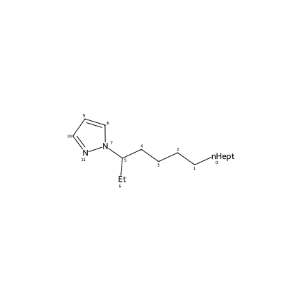 CCCCCCCCCCCC(CC)n1cccn1